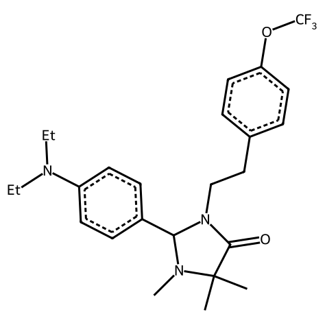 CCN(CC)c1ccc(C2N(CCc3ccc(OC(F)(F)F)cc3)C(=O)C(C)(C)N2C)cc1